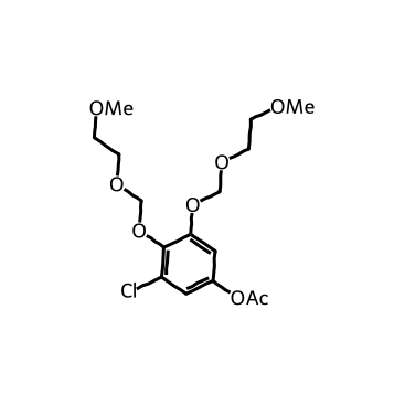 COCCOCOc1cc(OC(C)=O)cc(Cl)c1OCOCCOC